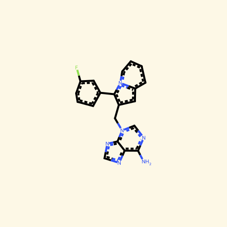 Nc1ncn(Cc2cc3ccccn3c2-c2cccc(F)c2)c2ncnc1-2